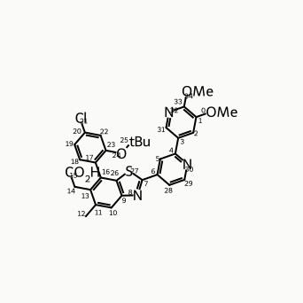 COc1cc(-c2cc(-c3nc4cc(C)c(CC(=O)O)c(-c5ccc(Cl)cc5OC(C)(C)C)c4s3)ccn2)cnc1OC